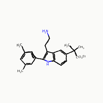 CCOC(=O)C(C)(C)c1ccc2[nH]c(-c3cc(C)cc(C)c3)c(CCN)c2c1